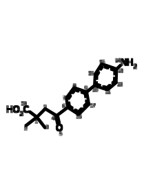 CC(C)(CC(=O)c1ccc(-c2ccc(N)cc2)cc1)C(=O)O